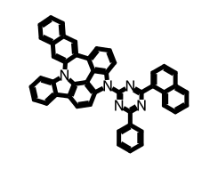 c1ccc(-c2nc(-c3cccc4ccccc34)nc(-n3c4cccc5c6cc7ccccc7cc6n6c7ccccc7c7ccc3c(c54)c76)n2)cc1